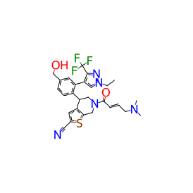 CCn1cc(-c2cc(CO)ccc2C2CN(C(=O)/C=C/CN(C)C)Cc3sc(C#N)cc32)c(C(F)(F)F)n1